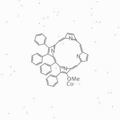 COC1=C(c2ccccc2)C2=NC1=CC1=NC(=CC3=NC(=CC4=NC(=C2c2ccccc2)C(c2ccccc2)=C4c2ccccc2)C=C3)C=C1.[Co]